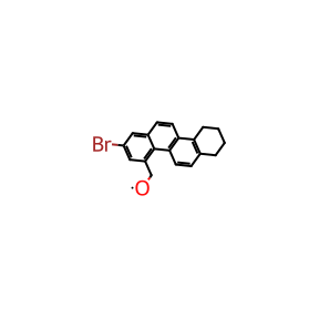 [O]Cc1cc(Br)cc2ccc3c4c(ccc3c12)CCCC4